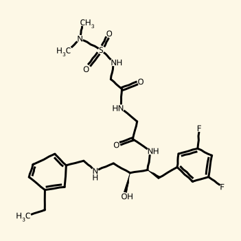 CCc1cccc(CNC[C@H](O)[C@H](Cc2cc(F)cc(F)c2)NC(=O)CNC(=O)CNS(=O)(=O)N(C)C)c1